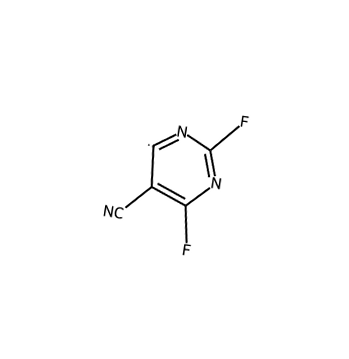 N#Cc1[c]nc(F)nc1F